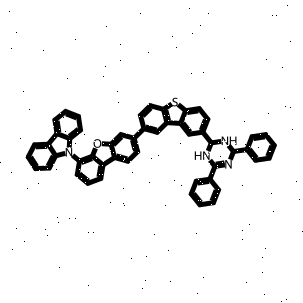 c1ccc(C2=NC(c3ccccc3)NC(c3ccc4sc5ccc(-c6ccc7c(c6)oc6c(-n8c9ccccc9c9ccccc98)cccc67)cc5c4c3)N2)cc1